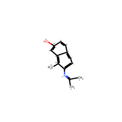 CC(C)=Nc1ccc2ccc(O)cc2c1C